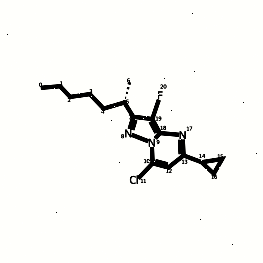 CCCCC[C@H](C)c1nn2c(Cl)cc(C3CC3)nc2c1F